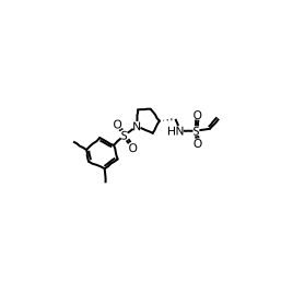 C=CS(=O)(=O)NC[C@H]1CCN(S(=O)(=O)c2cc(C)cc(C)c2)C1